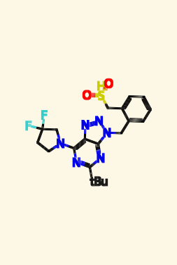 CC(C)(C)c1nc(N2CCC(F)(F)C2)c2nnn(Cc3ccccc3C[SH](=O)=O)c2n1